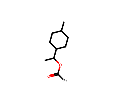 CCC(=O)OC(C)C1CCC(C)CC1